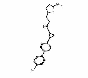 NC1CCN(CCNC2CC2c2ccc(-c3ccc(Cl)cc3)cc2)C1